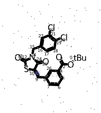 CC(C)(C)OC(=O)c1cccc(/C=C2/SC(=O)N(Cc3ccc(Cl)c(Cl)c3)C2=O)c1